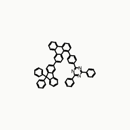 c1ccc(-c2nc(-c3ccccc3)nc(-c3ccc(-c4cccc5c6ccccc6c6cc(-c7ccc8c(c7)-c7ccccc7C8(c7ccccc7)c7ccccc7)ccc6c45)cc3)n2)cc1